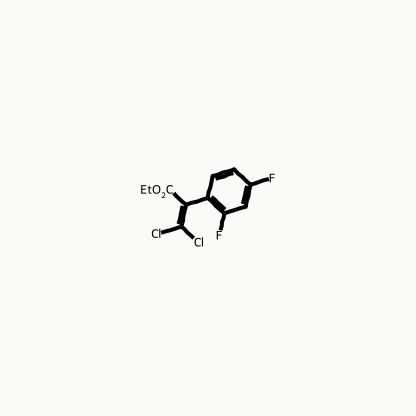 CCOC(=O)C(=C(Cl)Cl)c1ccc(F)cc1F